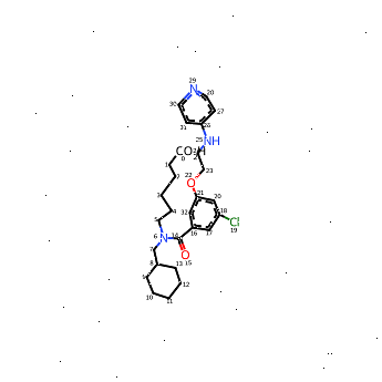 O=C(O)CCCCCN(CC1CCCCC1)C(=O)c1cc(Cl)cc(OCCNc2ccncc2)c1